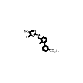 CCOC(=O)c1cccc(-c2cccc(CNc3ncc(C#N)c(Cl)n3)c2C)c1